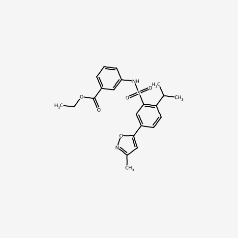 CCOC(=O)c1cccc(NS(=O)(=O)c2cc(-c3cc(C)no3)ccc2C(C)C)c1